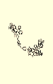 CC(C)(O)c1cc2nc([C@H]3CC[C@@H](CN4CC5(CC(CCNc6cccc7c6C(=O)N(C6CCC(=O)NC6=O)C7=O)C5)C4)CC3)sc2cc1NC(=O)c1cccc(C(F)(F)F)n1